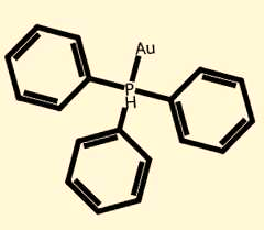 [Au][PH](c1ccccc1)(c1ccccc1)c1ccccc1